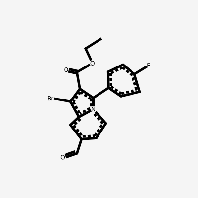 CCOC(=O)c1c(Br)c2cc(C=O)ccn2c1-c1ccc(F)cc1